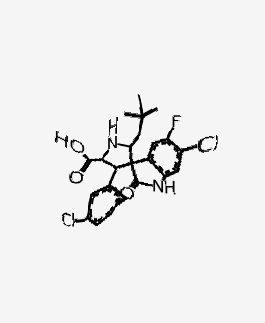 CC(C)(C)CC1NC(C(=O)O)C(c2cccc(Cl)c2)C12C(=O)Nc1cc(Cl)c(F)cc12